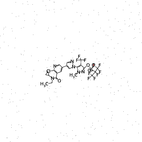 CCN(C(=O)c1cc(-c2cnn(-c3c(C(F)(F)F)c(OS(=O)(=O)C(F)(C(F)(F)F)C(F)(F)F)nn3C)c2)cnc1Cl)C1CC1